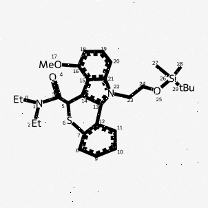 CCN(CC)C(=O)C1Sc2ccccc2-c2c1c1c(OC)cccc1n2CCO[Si](C)(C)C(C)(C)C